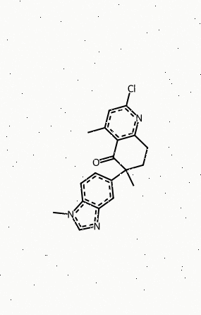 Cc1cc(Cl)nc2c1C(=O)C(C)(c1ccc3c(c1)ncn3C)CC2